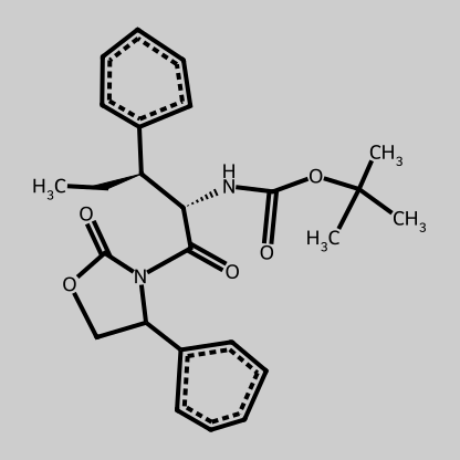 CC[C@@H](c1ccccc1)[C@H](NC(=O)OC(C)(C)C)C(=O)N1C(=O)OCC1c1ccccc1